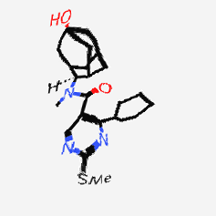 CSc1ncc(C(=O)N(C)[C@H]2C3CC4CC2C[C@@](O)(C4)C3)c(C2CCCC2)n1